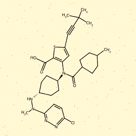 CC1CCC(C(=O)N(c2cc(C#CC(C)(C)C)sc2C(=O)O)[C@H]2CC[C@H](NN(C)c3ccc(Cl)nn3)CC2)CC1